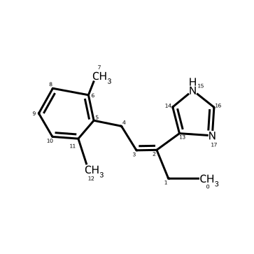 CCC(=CCc1c(C)cccc1C)c1c[nH]cn1